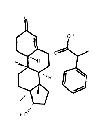 CC(C(=O)O)c1ccccc1.C[C@]12CC[C@H]3[C@@H](CCC4=CC(=O)CC[C@@H]43)[C@@H]1CC[C@@H]2O